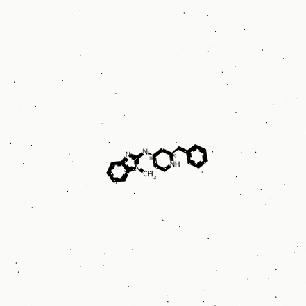 Cn1c([N][C@H]2CCN[C@H](Cc3ccccc3)C2)nc2ccccc21